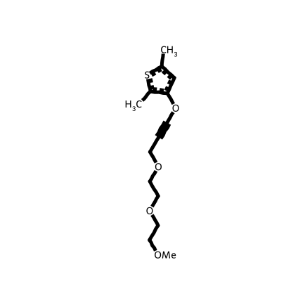 COCCOCCOCC#COc1cc(C)sc1C